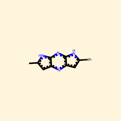 Cc1cc2nc3cc(C(C)C)[nH]c3nc2[nH]1